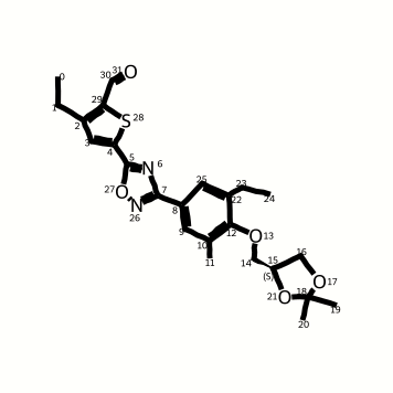 CCc1cc(-c2nc(-c3cc(C)c(OC[C@H]4COC(C)(C)O4)c(CC)c3)no2)sc1C=O